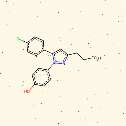 O=C(O)CCc1cc(-c2ccc(Cl)cc2)n(-c2ccc(O)cc2)n1